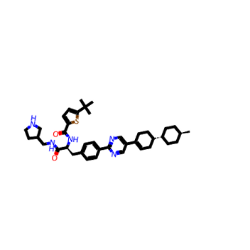 CC(C)(C)c1ccc(C(=O)N[C@@H](Cc2ccc(-c3ncc(C4=CCC([C@H]5CC[C@H](C)CC5)CC4)cn3)cc2)C(=O)NCC2CCNC2)s1